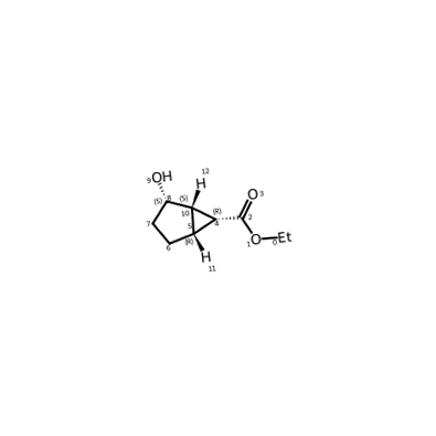 CCOC(=O)[C@@H]1[C@@H]2CC[C@H](O)[C@@H]21